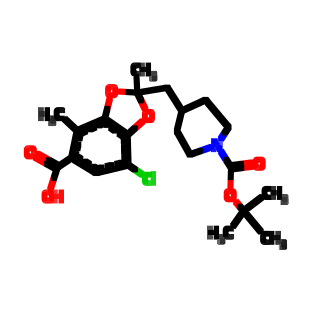 Cc1c(C(=O)O)cc(Cl)c2c1OC(C)(CC1CCN(C(=O)OC(C)(C)C)CC1)O2